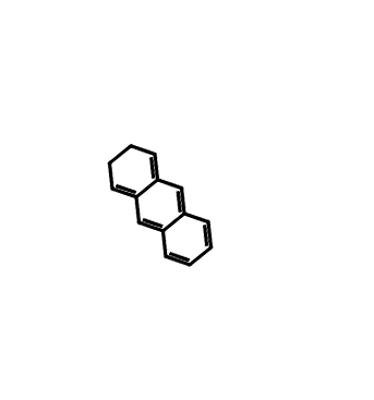 C1=c2cc3ccccc3cc2=CCC1